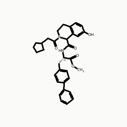 COC(=O)[C@H](Cc1ccc(-c2ccccc2)cc1)NC(=O)C1c2cc(O)ccc2CCN1C(=O)CC1CCCC1